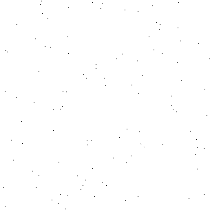 Fc1cc(OCc2ccccc2)cc2ccc(Cl)nc12